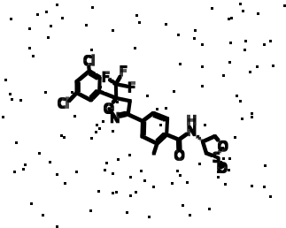 Cc1cc(C2=NOC(c3cc(Cl)cc(Cl)c3)(C(F)(F)F)C2)ccc1C(=O)N[C@@H]1COS(=O)C1